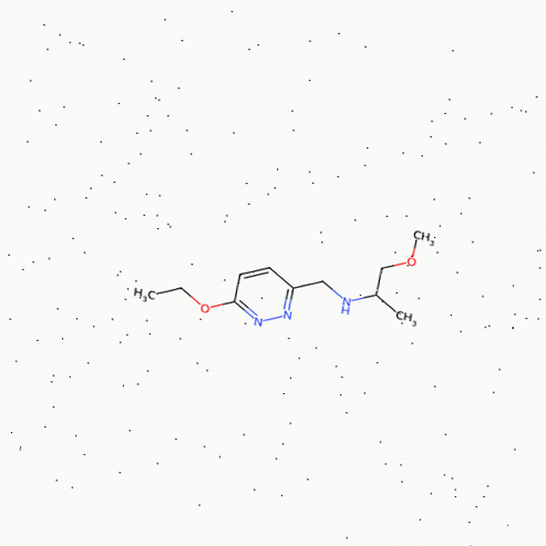 CCOc1ccc(CNC(C)COC)nn1